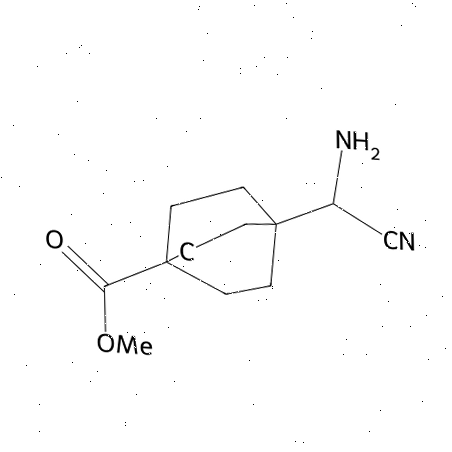 COC(=O)C12CCC(C(N)C#N)(CC1)CC2